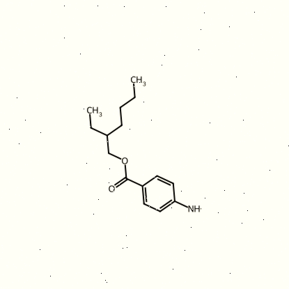 CCCCC(CC)COC(=O)c1ccc([NH])cc1